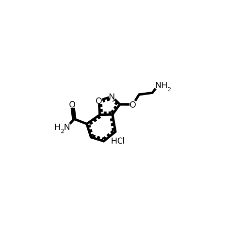 Cl.NCCOc1noc2c(C(N)=O)cccc12